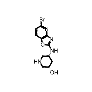 O[C@@H]1CNC[C@H](Nc2nc3nc(Br)ccc3o2)C1